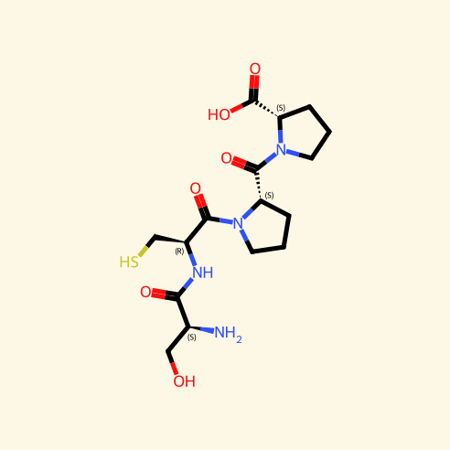 N[C@@H](CO)C(=O)N[C@@H](CS)C(=O)N1CCC[C@H]1C(=O)N1CCC[C@H]1C(=O)O